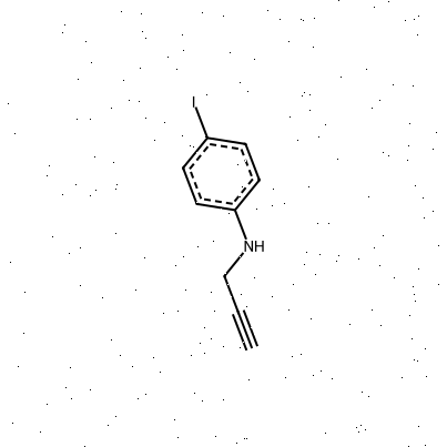 C#CCNc1ccc(I)cc1